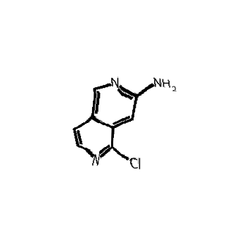 Nc1cc2c(Cl)nccc2cn1